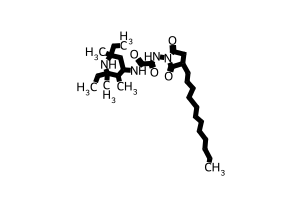 CCCCCCCCCCCCC1CC(=O)N(NC(=O)C(=O)NC2CC(C)(CC)NC(C)(CC)C2C)C1=O